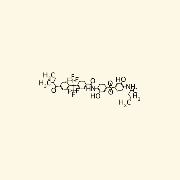 CCCC(C)Nc1ccc(S(=O)(=O)c2ccc(NC(=O)c3ccc(C(c4ccc(C(=O)C(C)CC)cc4)(C(F)(F)F)C(F)(F)F)cc3)c(O)c2)cc1O